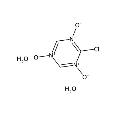 O.O.[O-][n+]1c[n+]([O-])c(Cl)[n+]([O-])c1